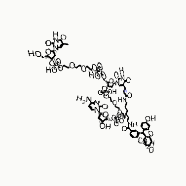 Cc1cn([C@H]2C[C@@H](OP(=O)(O)OCCOCCOCCOP(=O)(O)OC[C@H]3O[C@@H](n4cc(/C=C/C(=O)NCCCCCCNC(=O)c5ccc(C(=O)O)c(-c6c7ccc(=O)cc-7oc7cc(O)ccc67)c5)c(=O)[nH]c4=O)C[C@H]3OP(=O)(O)OCCOCCOCCOP(=O)(O)OC[C@H]3O[C@@H](n4ccc(N)nc4=O)C[C@H]3O)[C@@H](CO)O2)c(=O)[nH]c1=O